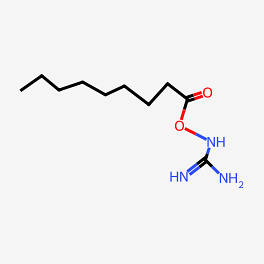 CCCCCCCCC(=O)ONC(=N)N